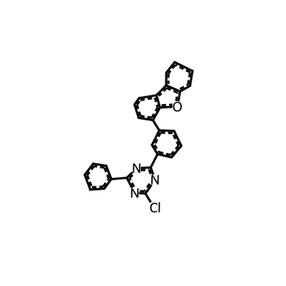 Clc1nc(-c2ccccc2)nc(-c2cccc(-c3cccc4c3oc3ccccc34)c2)n1